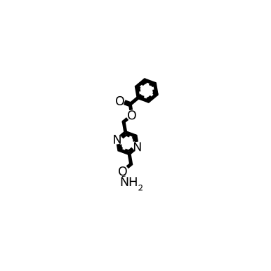 NOCc1cnc(COC(=O)c2ccccc2)cn1